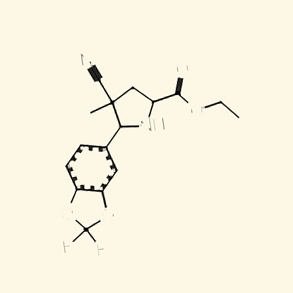 CCOC(=O)C1CC(C)(C#N)C(c2ccc3c(c2)OC(F)(F)O3)N1